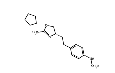 C1CCCC1.NC1=N[C@@H](CCc2ccc(NC(=O)O)cc2)CO1